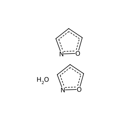 O.c1cnoc1.c1cnoc1